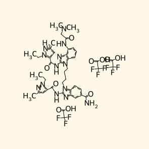 CCn1nc(C)cc1C(=O)Nc1nc2cc(C(N)=O)ccc2n1CCCCn1c(NC(=O)c2cc(C)nn2CC)nc2c(NC(=O)CN(C)C)cccc21.O=C(O)C(F)(F)F.O=C(O)C(F)(F)F.O=C(O)C(F)(F)F